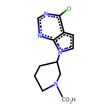 O=C(O)N1CCCC(n2ccc3c(Cl)ncnc32)C1